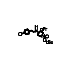 CCC[C@H]1CN(C(=O)OC(C)(C)C)CC[C@@H]1NCCc1ccc(Cl)cc1